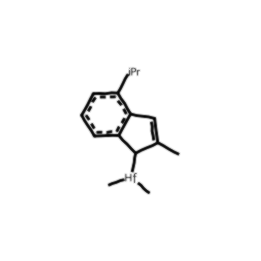 CC1=Cc2c(C(C)C)cccc2[CH]1[Hf]([CH3])[CH3]